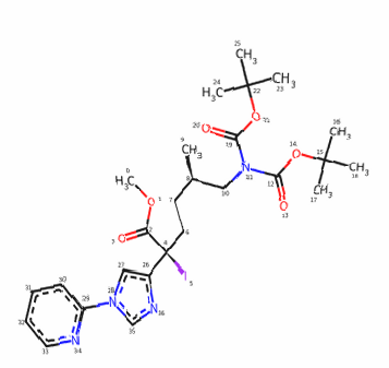 COC(=O)[C@](I)(CC[C@@H](C)CN(C(=O)OC(C)(C)C)C(=O)OC(C)(C)C)c1cn(-c2ccccn2)cn1